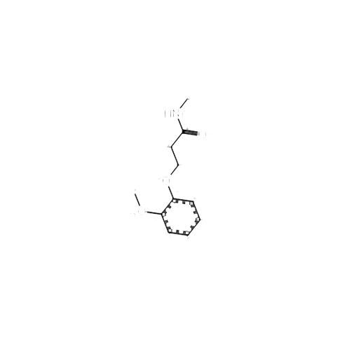 CNC(=O)CCOc1ccccc1OC